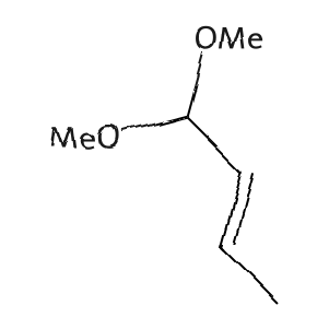 CC=CC(OC)OC